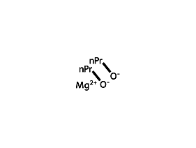 CCC[O-].CCC[O-].[Mg+2]